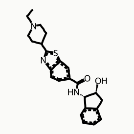 CCN1CCC(c2nc3ccc(C(=O)N[C@H]4c5ccccc5C[C@@H]4O)cc3s2)CC1